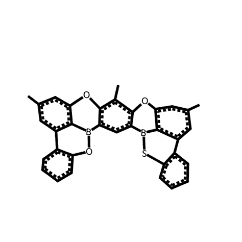 Cc1cc2c3c(c1)-c1ccccc1OB3c1cc3c(c(C)c1O2)Oc1cc(C)cc2c1B3Sc1ccccc1-2